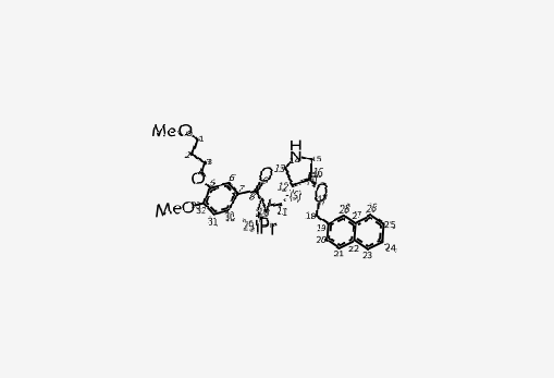 COCCCOc1cc(C(=O)N(C[C@@H]2CNC[C@H]2OCc2ccc3ccccc3c2)C(C)C)ccc1OC